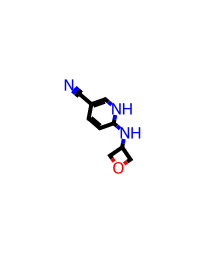 N#CC1=CNC(NC2COC2)C=C1